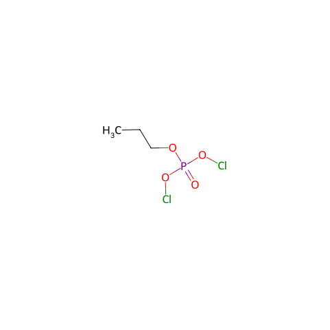 CCCOP(=O)(OCl)OCl